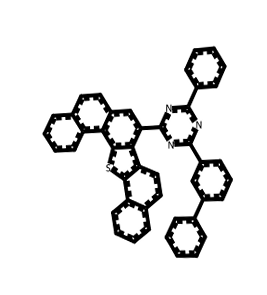 c1ccc(-c2cccc(-c3nc(-c4ccccc4)nc(-c4cc5ccc6ccccc6c5c5sc6c7ccccc7ccc6c45)n3)c2)cc1